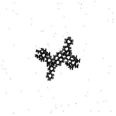 [2H]c1c([2H])c([2H])c(-c2ccc(N(C3=CC=C4C=CC5=C(N(c6ccc(-c7ccccc7)cc6)c6ccc(-c7c([2H])c([2H])c([2H])c([2H])c7[2H])cc6F)C=CC6=CC=C3C4C65)c3ccc(-c4ccccc4)cc3)c(F)c2)c([2H])c1[2H]